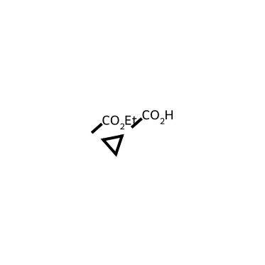 C1CC1.CC(=O)O.CCOC(C)=O